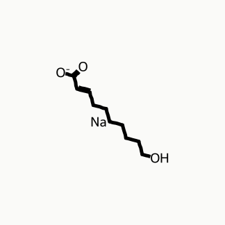 O=C([O-])C=CCCCCCCCO.[Na+]